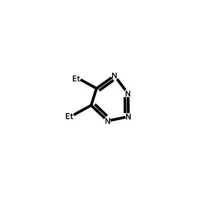 CCc1nnnnc1CC